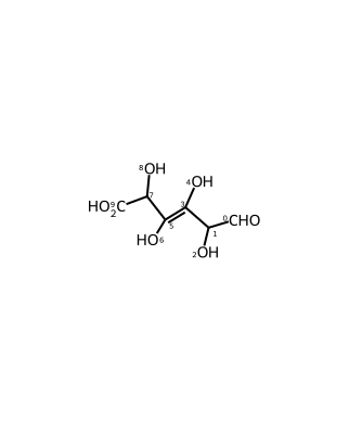 O=CC(O)/C(O)=C(\O)C(O)C(=O)O